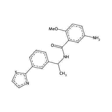 COc1ccc(N)cc1C(=O)NC(C)c1cccc(-c2nccs2)c1